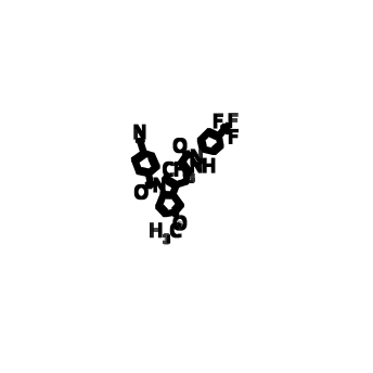 COc1ccc2c(c1)c(Cc1cc(=O)n(-c3ccc(C(F)(F)F)cc3)[nH]1)c(C)n2C(=O)c1ccc(C#N)cc1